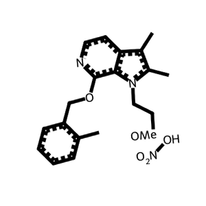 COCCn1c(C)c(C)c2ccnc(OCc3ccccc3C)c21.O=[N+]([O-])O